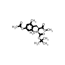 COC(=O)[C@H](Cc1c(C)cc(OC(C)=O)cc1C)NC(=O)OC(C)(C)C